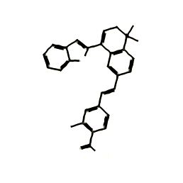 Cc1cc(C=Cc2ccc3c(c2)C(c2cc4ccccc4o2)=CCC3(C)C)ccc1C(=O)O